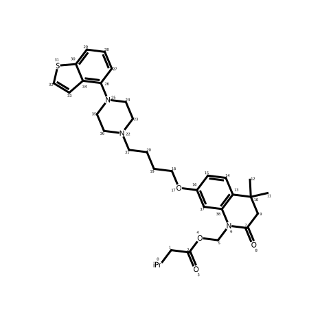 CC(C)CC(=O)OCN1C(=O)CC(C)(C)c2ccc(OCCCCN3CCN(c4cccc5sccc45)CC3)cc21